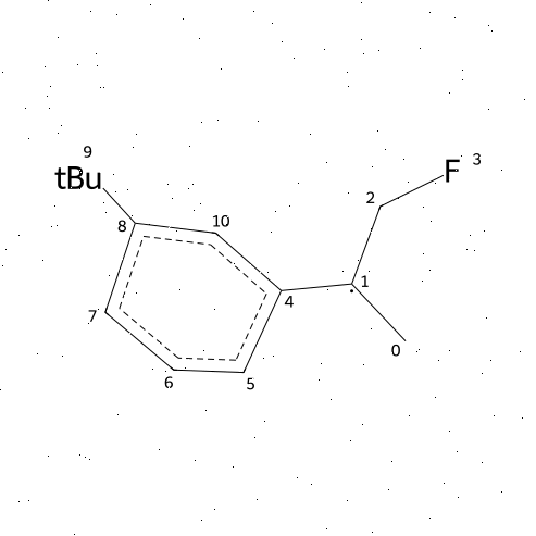 C[C](CF)c1cccc(C(C)(C)C)c1